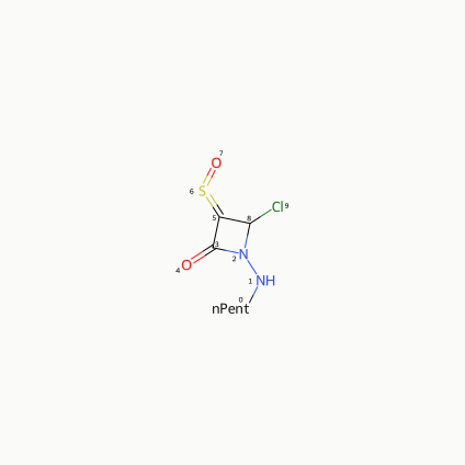 CCCCCNN1C(=O)C(=S=O)C1Cl